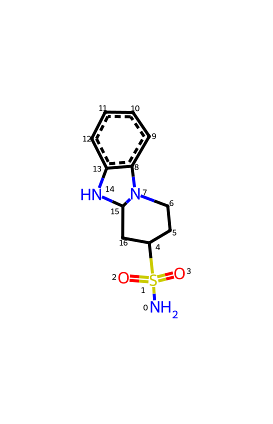 NS(=O)(=O)C1CCN2c3ccccc3NC2C1